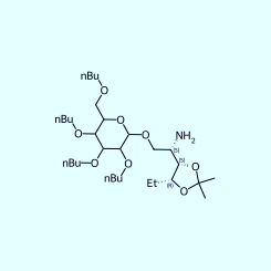 CCCCOCC1OC(OC[C@H](N)[C@@H]2OC(C)(C)O[C@@H]2CC)C(OCCCC)C(OCCCC)C1OCCCC